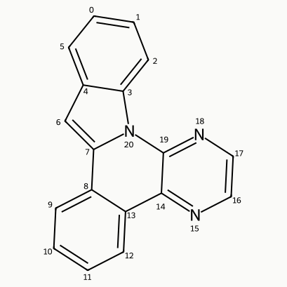 c1ccc2c(c1)cc1c3ccccc3c3nccnc3n21